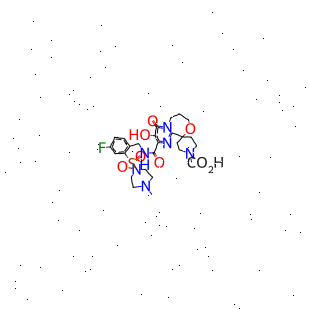 CN1CCN(S(=O)(=O)c2cc(F)ccc2CNC(=O)c2nc3n(c(=O)c2O)CCCOC32CCN(C(=O)O)CC2)CC1